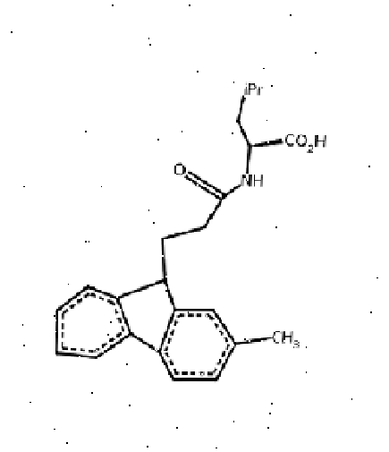 Cc1ccc2c(c1)C(CCC(=O)N[C@@H](CC(C)C)C(=O)O)c1ccccc1-2